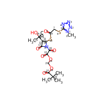 Cn1nnnc1SCC(=O)S[C@@H]1[C@H](C(C)(C)O)C(=O)N1C(=O)C(=O)OCOC(=O)C(C)(C)C